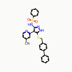 N#Cc1ccnc(-c2c(NS(=O)(=O)c3ccccc3)n[nH]c2SCc2ccc(-c3ccccc3)cc2)c1